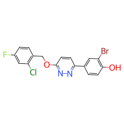 Oc1ccc(-c2ccc(OCc3ccc(F)cc3Cl)nn2)cc1Br